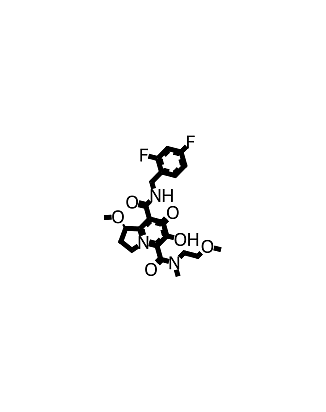 COCCN(C)C(=O)c1c(O)c(=O)c(C(=O)NCc2ccc(F)cc2F)c2n1CC[C@@H]2OC